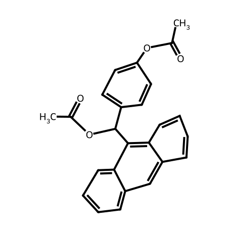 CC(=O)Oc1ccc(C(OC(C)=O)c2c3ccccc3cc3ccccc23)cc1